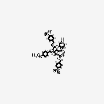 COc1ccc(CS[C@]2(CC(=O)OCc3ccc([N+](=O)[O-])cc3)C[C@@H](C(=O)N3CCNCC3)N(C(=O)OCc3ccc([N+](=O)[O-])cc3)C2)cc1